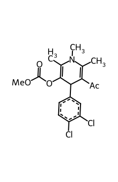 COC(=O)OC1=C(C)N(C)C(C)=C(C(C)=O)C1c1ccc(Cl)c(Cl)c1